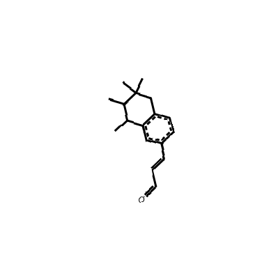 CC1c2cc(C=CC=O)ccc2CC(C)(C)C1C